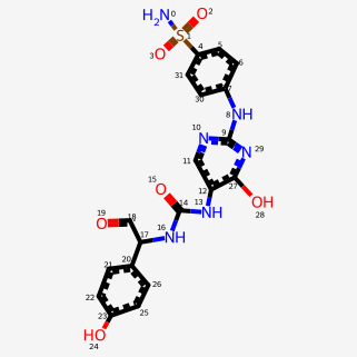 NS(=O)(=O)c1ccc(Nc2ncc(NC(=O)NC([C]=O)c3ccc(O)cc3)c(O)n2)cc1